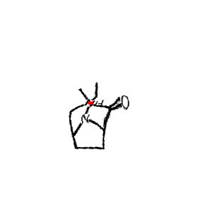 CNN1C2CCC1C(=O)N(C)C2